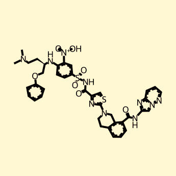 CN(C)CC[C@H](COc1ccccc1)Nc1ccc(S(=O)(=O)NC(=O)c2csc(N3CCc4cccc(C(=O)Nc5cn6ncccc6n5)c4C3)n2)cc1[N+](=O)O